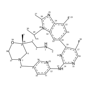 CNCC[C@]1(C)CN(Cc2ccc(Nc3ncc(F)c(-c4cc(F)c5nc(C)n(C(C)C)c5c4)n3)nc2)CCO1